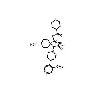 COc1ccccc1N1CCN(C(C(N)=O)C2(C(=O)OC(=O)C3CCCCC3)CCCCC2)CC1.Cl.Cl